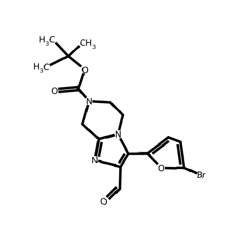 CC(C)(C)OC(=O)N1CCn2c(nc(C=O)c2-c2ccc(Br)o2)C1